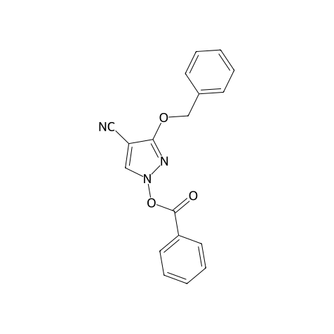 N#Cc1cn(OC(=O)c2ccccc2)nc1OCc1ccccc1